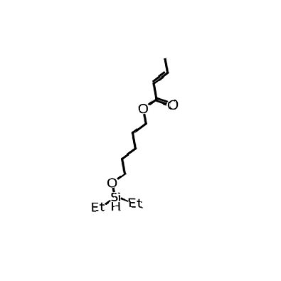 CC=CC(=O)OCCCCCO[SiH](CC)CC